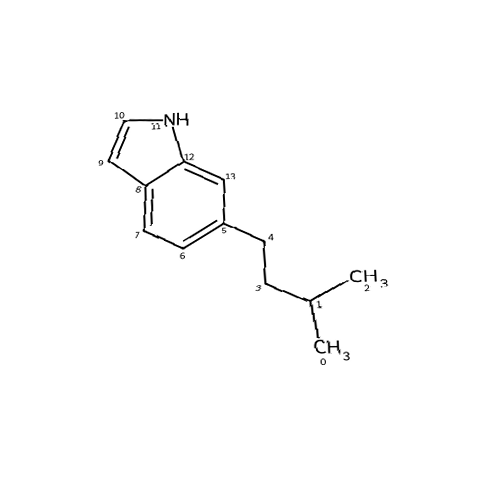 CC(C)CCc1ccc2cc[nH]c2c1